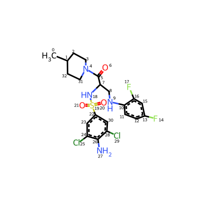 CC1CCN(C(=O)C(CNc2ccc(F)cc2F)NS(=O)(=O)c2cc(Cl)c(N)c(Cl)c2)CC1